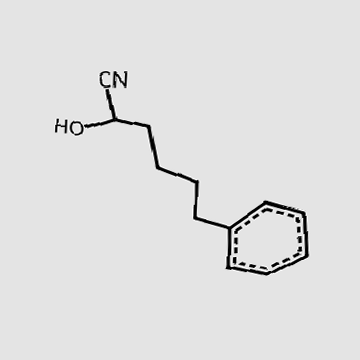 N#CC(O)CCCCc1ccccc1